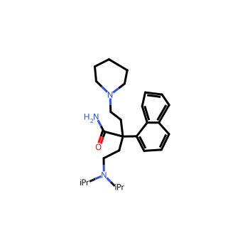 CC(C)N(CCC(CCN1CCCCC1)(C(N)=O)c1cccc2ccccc12)C(C)C